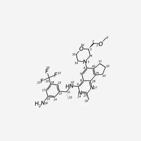 COC[C@H]1CN(c2cc3c(N[C@H](C)c4cc(N)cc(C(F)(F)F)c4)nc(C)nc3c3c2CCC3)CCO1